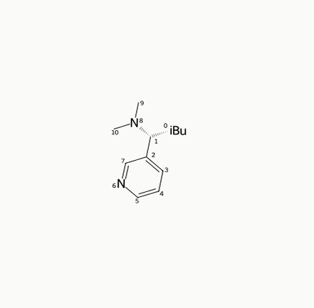 CC[C@@H](C)[C@H](c1cccnc1)N(C)C